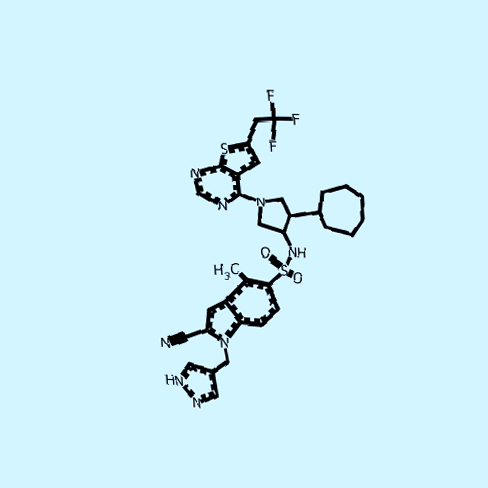 Cc1c(S(=O)(=O)NC2CN(c3ncnc4sc(CC(F)(F)F)cc34)CC2C2CCCCCC2)ccc2c1cc(C#N)n2Cc1cn[nH]c1